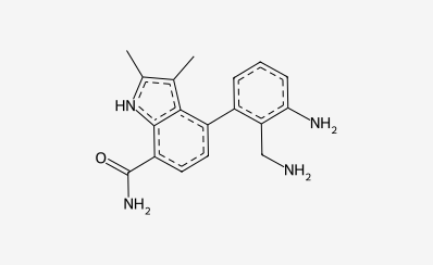 Cc1[nH]c2c(C(N)=O)ccc(-c3cccc(N)c3CN)c2c1C